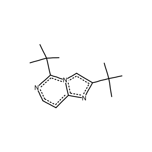 CC(C)(C)c1cn2c(C(C)(C)C)nccc2n1